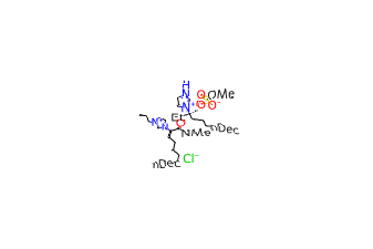 C=CC[N+]1=CN(C(CCCCCCCCCCCCCC)C(=O)NC)CC1.CCCCCCCCCCCCCC(C)(CC)[N+]1=CNCC1.COS(=O)(=O)[O-].[Cl-]